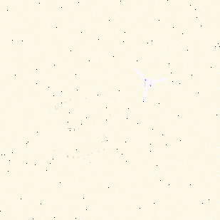 CN(C)C[C]12[CH]3[CH]4[CH]5[CH]1[Fe]45321678[CH]2[CH]1[CH]6[CH]7[CH]28